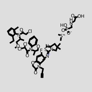 C#CCN1C(=O)COc2cc(F)c(/N=c3\snc4n3CC(C)(C)C4)cc21.CC1COc2ccccc2N1C(=O)C(Cl)Cl.CCc1cccc(C)c1N(C(=O)CCl)C(C)COC.C[S+](C)C.O=C(O)CNCP(=O)([O-])O